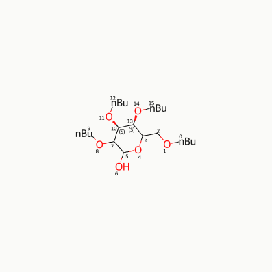 CCCCOCC1OC(O)C(OCCCC)[C@@H](OCCCC)[C@H]1OCCCC